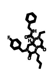 CCCC[C@H]1C(=O)N(Cc2ccc(F)cc2)C[C@H]2N1C(=O)CN(CC)N2C(=O)NCc1ccccc1